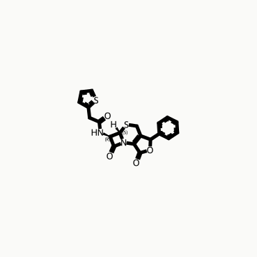 O=C(Cc1cccs1)N[C@@H]1C(=O)N2C3=C(CS[C@@H]12)C(c1ccccc1)OC3=O